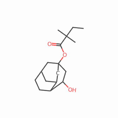 CCC(C)(C)C(=O)OC12CC3CCC(C(O)C1)C(C3)C2